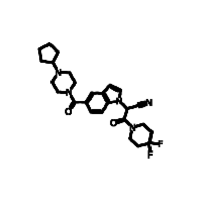 N#CC(C(=O)N1CCC(F)(F)CC1)n1ccc2cc(C(=O)N3CCN(C4CCCC4)CC3)ccc21